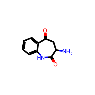 NC1CC(=O)c2ccccc2NC1=O